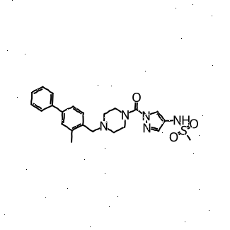 Cc1cc(-c2ccccc2)ccc1CN1CCN(C(=O)n2cc(NS(C)(=O)=O)cn2)CC1